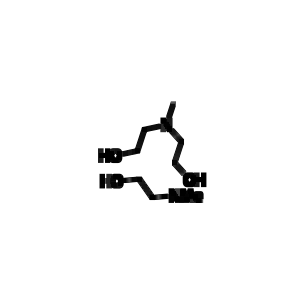 CN(CCO)CCO.CNCCO